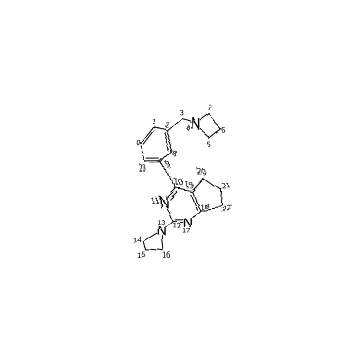 c1cc(CN2CCC2)cc(-c2nc(N3CCC3)nc3c2CCC3)c1